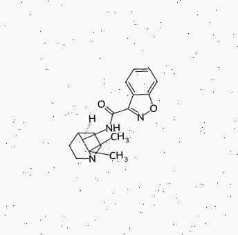 CC1(C)[C@H](NC(=O)c2noc3ccccc23)C2CCN1CC2